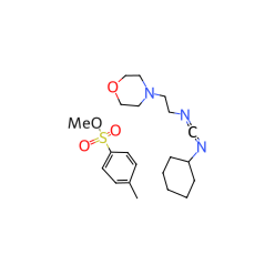 C(=NCCN1CCOCC1)=NC1CCCCC1.COS(=O)(=O)c1ccc(C)cc1